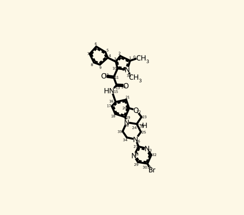 Cc1cc(-c2ccccc2)c(C(=O)C(=O)Nc2ccc3c(c2)OC[C@H]2CN(c4ncc(Br)cn4)CCN32)n1C